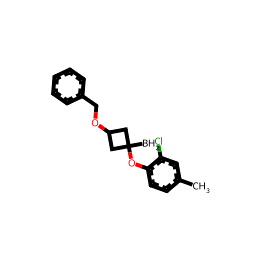 BC1(Oc2ccc(C)cc2Cl)CC(OCc2ccccc2)C1